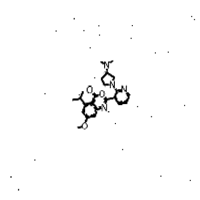 COc1cc(C(C)C)c2c(=O)oc(-c3cccnc3N3CC[C@@H](N(C)C)C3)nc2c1